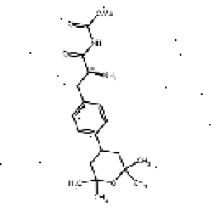 COC(=O)NC(=O)[C@@H](N)Cc1ccc(C2CC(C)(C)OC(C)(C)C2)cc1